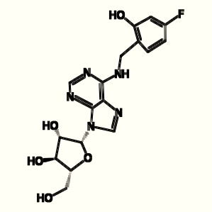 OC[C@H]1O[C@@H](n2cnc3c(NCc4ccc(F)cc4O)ncnc32)[C@@H](O)[C@@H]1O